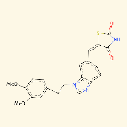 COc1ccc(CCn2cnc3ccc(/C=C4/SC(=O)NC4=O)cc32)cc1OC